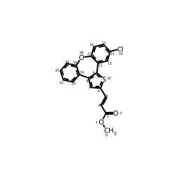 COC(=O)/C=C/c1cc2c(s1)-c1cc(Cl)ccc1Oc1ccccc1-2